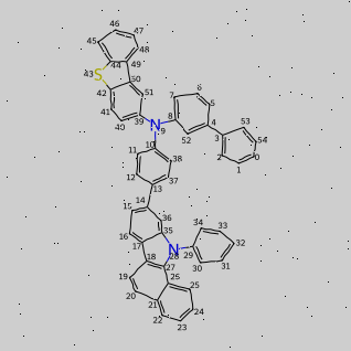 c1ccc(-c2cccc(N(c3ccc(-c4ccc5c6ccc7ccccc7c6n(-c6ccccc6)c5c4)cc3)c3ccc4sc5ccccc5c4c3)c2)cc1